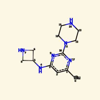 CC(C)(C)c1cc(NC2CNC2)nc(N2CCNCC2)n1